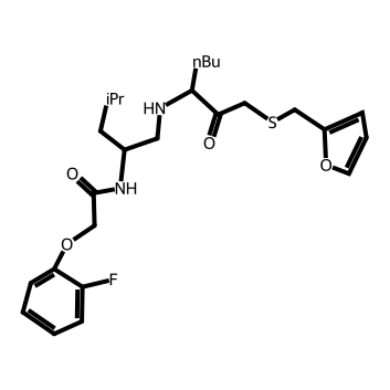 CCCCC(NCC(CC(C)C)NC(=O)COc1ccccc1F)C(=O)CSCc1ccco1